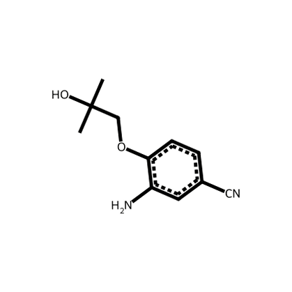 CC(C)(O)COc1ccc(C#N)cc1N